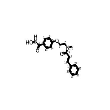 CN(CCOc1ccc(C(=O)NO)cc1)C(=O)/C=C/c1ccccc1